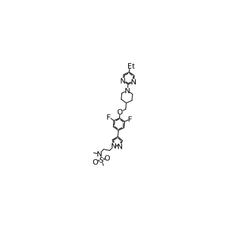 CCc1cnc(N2CCC(COc3c(F)cc(-c4cnn(CCN(C)S(C)(=O)=O)c4)cc3F)CC2)nc1